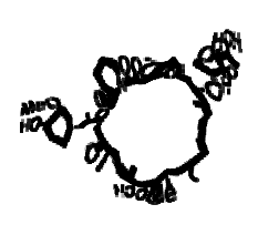 CO[C@@H]1C[C@H](C[C@@H](C)[C@@H]2CC(=O)[C@H](C)/C=C(\C)[C@@H](O)[C@@H](OC)C(=O)[C@H](C)C[C@H](C)/C=C/C=C/C=C(\C)[C@@H](O[C@@H]3CO[C@H]4[C@@H]3OC[C@H]4O)C[C@@H]3CC[C@@H](C)[C@@](O)(O3)C(=O)C(=O)N3CCCC[C@H]3C(=O)O2)CC[C@H]1O